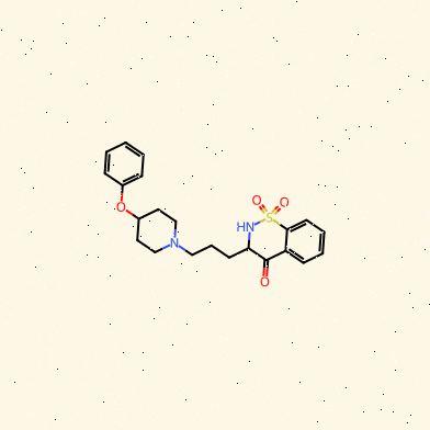 O=C1c2ccccc2S(=O)(=O)NC1CCCN1CCC(Oc2ccccc2)CC1